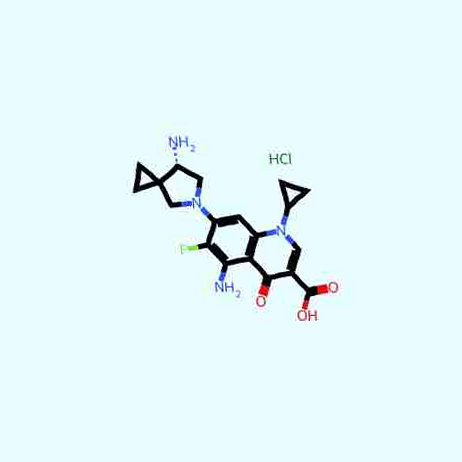 Cl.Nc1c(F)c(N2C[C@@H](N)C3(CC3)C2)cc2c1c(=O)c(C(=O)O)cn2C1CC1